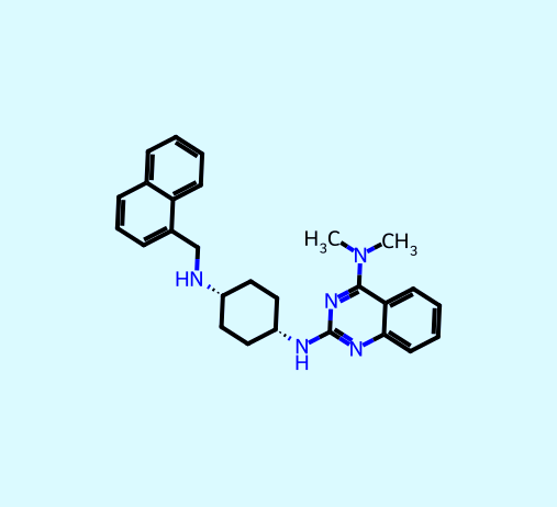 CN(C)c1nc(N[C@H]2CC[C@@H](NCc3cccc4ccccc34)CC2)nc2ccccc12